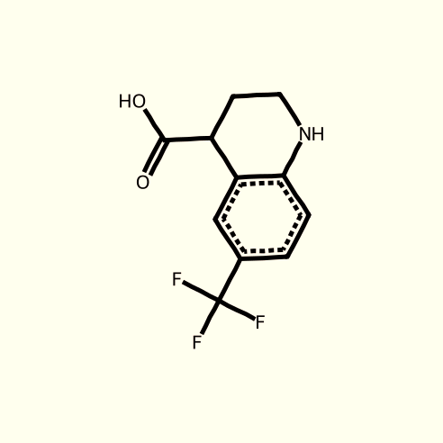 O=C(O)C1CCNc2ccc(C(F)(F)F)cc21